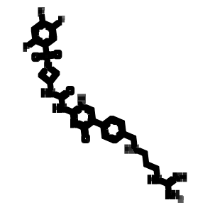 N=C(N)NCCCNCc1ccc(-c2c[nH]c(NC(=O)NC3CN(S(=O)(=O)c4cc(F)c(F)cc4F)C3)nc2=O)cc1